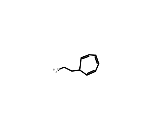 NCCC1C=CC=CC=C1